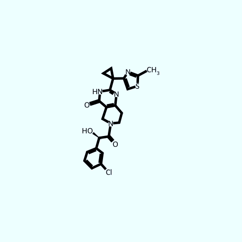 Cc1nc(C2(c3nc4c(c(=O)[nH]3)CN(C(=O)[C@H](O)c3cccc(Cl)c3)CC4)CC2)cs1